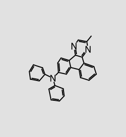 Cc1cnc2c3ccc(N(c4ccccc4)c4ccccc4)cc3c3ccccc3c2n1